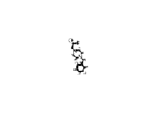 O=C(I)CN1CCN(Cc2ccccc2)CC1